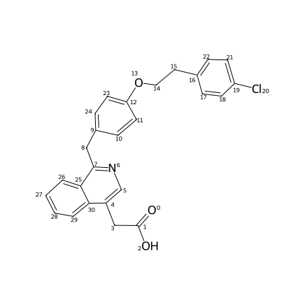 O=C(O)Cc1cnc(Cc2ccc(OCCc3ccc(Cl)cc3)cc2)c2ccccc12